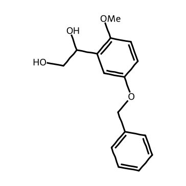 COc1ccc(OCc2ccccc2)cc1C(O)CO